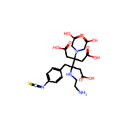 NCCNC(CC(=O)O)(Cc1ccc(N=C=S)cc1)C(CC(=O)O)(CC(=O)O)N(CC(=O)O)CC(=O)O